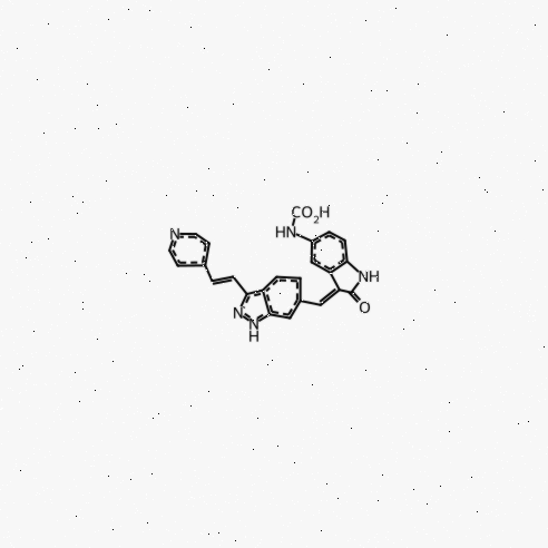 O=C(O)Nc1ccc2c(c1)/C(=C\c1ccc3c(/C=C/c4ccncc4)n[nH]c3c1)C(=O)N2